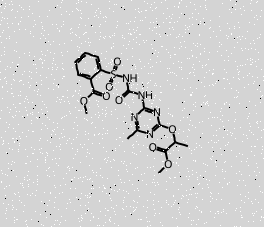 COC(=O)c1ccccc1S(=O)(=O)NC(=O)Nc1nc(C)nc(OC(C)C(=O)OC)n1